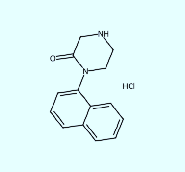 Cl.O=C1CNCCN1c1cccc2ccccc12